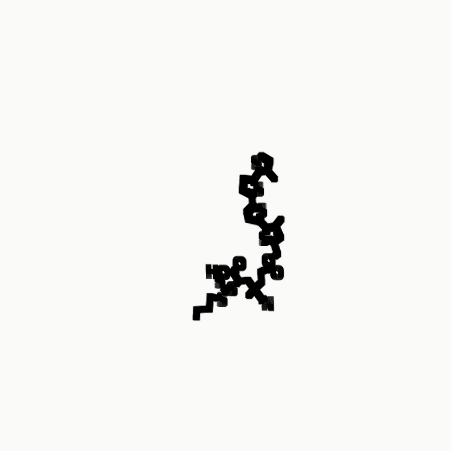 CCCCSC(=S)SC(CC(C)(C#N)CCC(=O)OCc1cc(C)c(-c2ccc(-c3ccc(-c4sccc4C)s3)s2)s1)C(=O)O